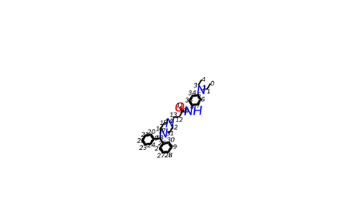 CCN(CC)c1ccc(NC(=O)CCN2CCN(C(c3ccccc3)c3ccccc3)CC2)cc1